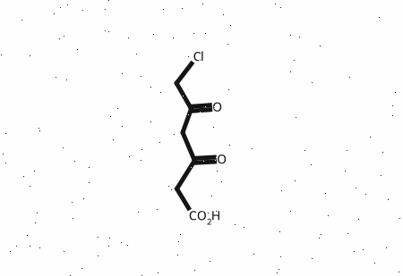 O=C(O)CC(=O)CC(=O)CCl